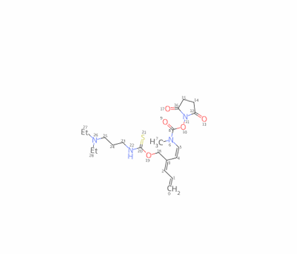 C=C/C=C(\C=C/N(C)C(=O)ON1C(=O)CCC1=O)COC(=S)NCCCN(CC)CC